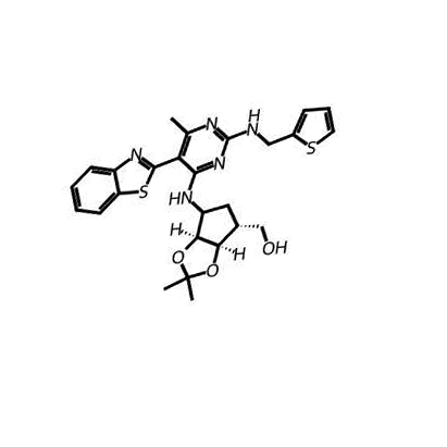 Cc1nc(NCc2cccs2)nc(NC2C[C@H](CO)[C@H]3OC(C)(C)O[C@@H]23)c1-c1nc2ccccc2s1